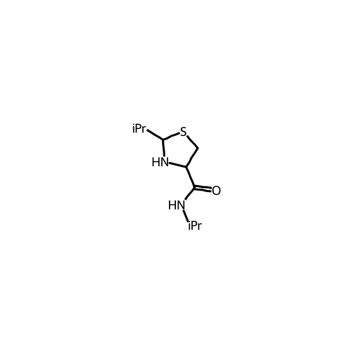 CC(C)NC(=O)C1CSC(C(C)C)N1